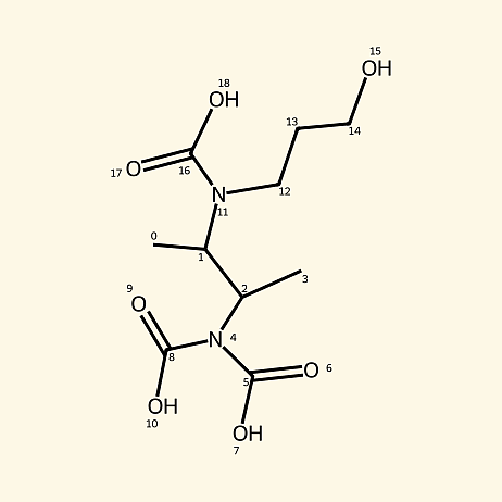 CC(C(C)N(C(=O)O)C(=O)O)N(CCCO)C(=O)O